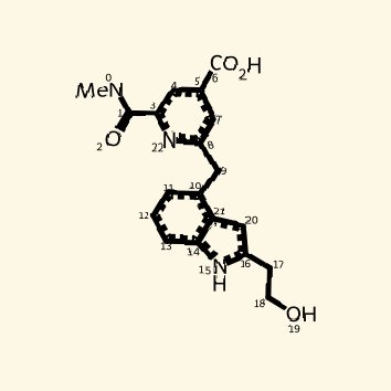 CNC(=O)c1cc(C(=O)O)cc(Cc2cccc3[nH]c(CCO)cc23)n1